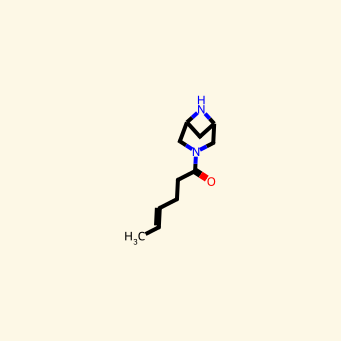 C/C=C/CCC(=O)N1CC2CC(C1)N2